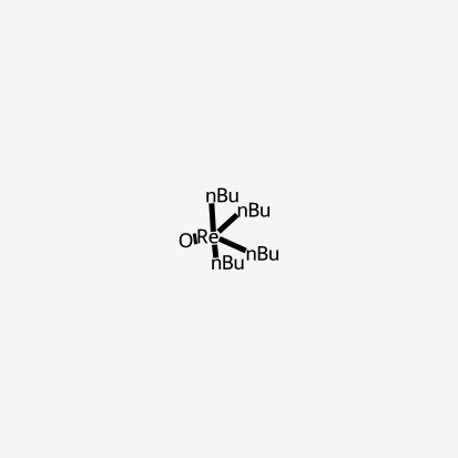 CCC[CH2][Re](=[O])([CH2]CCC)([CH2]CCC)[CH2]CCC